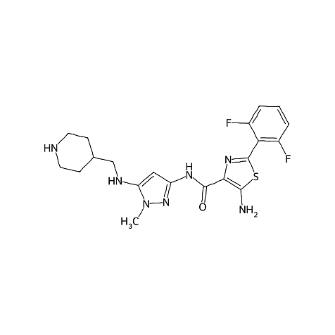 Cn1nc(NC(=O)c2nc(-c3c(F)cccc3F)sc2N)cc1NCC1CCNCC1